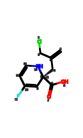 C=C(CCl)C[C@]1(C(=O)O)C=C(F)C=CN1